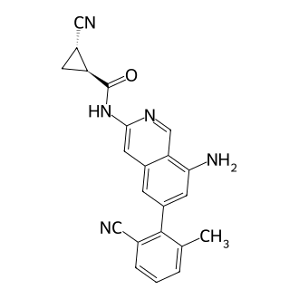 Cc1cccc(C#N)c1-c1cc(N)c2cnc(NC(=O)[C@H]3C[C@@H]3C#N)cc2c1